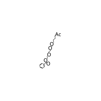 CC(=O)CCCCOCOCCOCCOC(=O)c1ccccc1